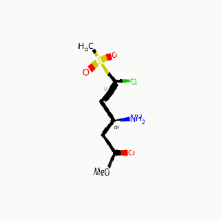 COC(=O)C[C@H](N)/C=C(\Cl)S(C)(=O)=O